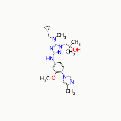 COc1cc(Nc2nc(N(C)CC3CC3)n(CC(C)(C)O)n2)ccc1-n1cnc(C)c1